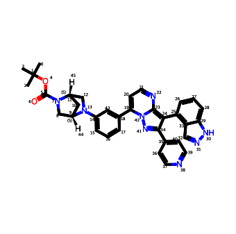 CC(C)(C)OC(=O)N1C[C@@H]2C[C@H]1CN2c1cccc(-c2ccnc3c(-c4cccc5[nH]ncc45)c(-c4ccncc4)nn23)c1